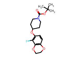 CC(C)(C)OC(=O)N1CCC(Oc2ccc3c(c2F)OCCO3)CC1